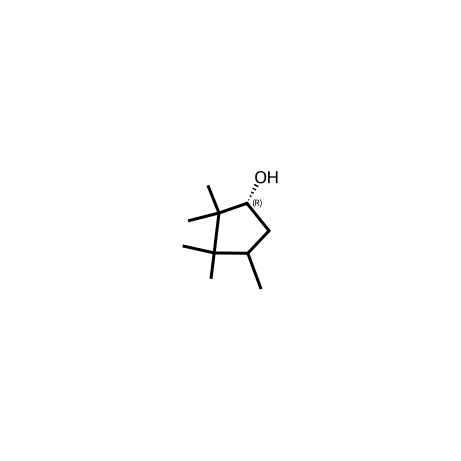 CC1C[C@@H](O)C(C)(C)C1(C)C